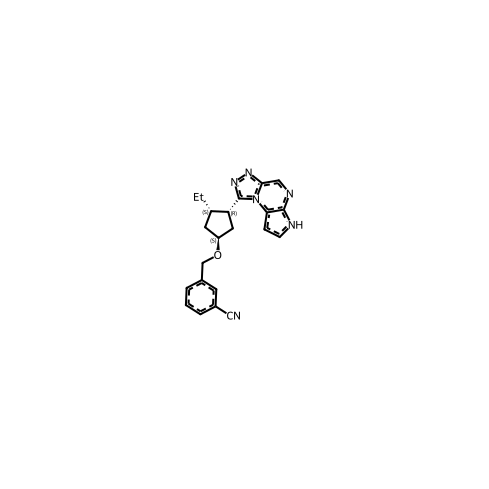 CC[C@H]1C[C@H](OCc2cccc(C#N)c2)C[C@H]1c1nnc2cnc3[nH]ccc3n12